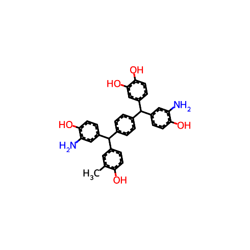 Cc1cc(C(c2ccc(C(c3ccc(O)c(N)c3)c3ccc(O)c(O)c3)cc2)c2ccc(O)c(N)c2)ccc1O